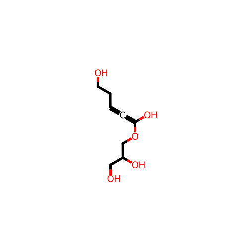 OCCC=C=C(O)OCC(O)CO